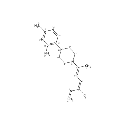 C=N/C(Cl)=C\C=C(/C)N1CCN(c2cnc(N)nc2N)CC1